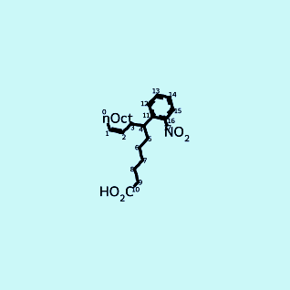 CCCCCCCC/C=C\CC(CCCCCC(=O)O)c1ccccc1[N+](=O)[O-]